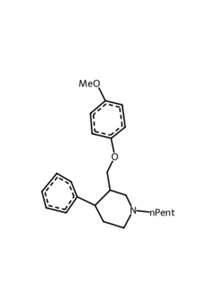 CCCCCN1CCC(c2ccccc2)C(COc2ccc(OC)cc2)C1